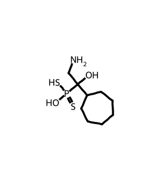 NCC(O)(C1CCCCCC1)P(O)(=S)S